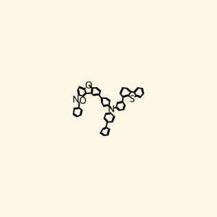 c1ccc(-c2ccc(N(c3ccc(-c4ccc5oc6ccc7nc(-c8ccccc8)oc7c6c5c4)cc3)c3cccc(-c4cccc5c4sc4ccccc45)c3)cc2)cc1